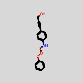 OCC#Cc1ccc(NSOOc2ccccc2)cc1